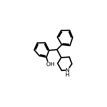 Oc1ccccc1C(c1ccccc1)C1CCNCC1